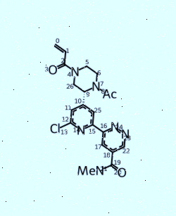 C=CC(=O)N1CCN(C(C)=O)[C@H](c2cc(Cl)nc(-c3cc(C(=O)NC)cnn3)c2)C1